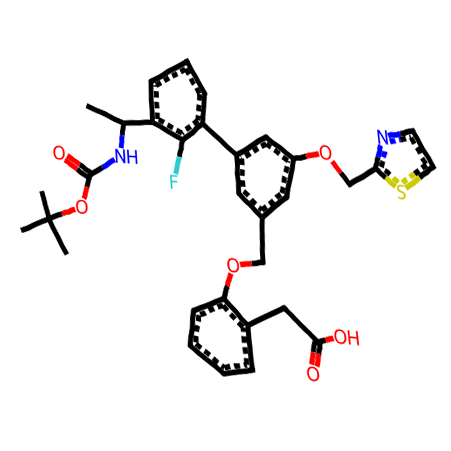 CC(NC(=O)OC(C)(C)C)c1cccc(-c2cc(COc3ccccc3CC(=O)O)cc(OCc3nccs3)c2)c1F